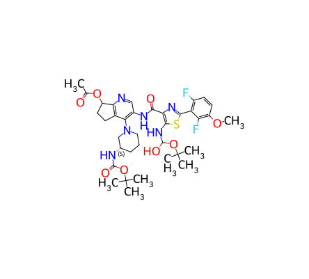 COc1ccc(F)c(-c2nc(C(=O)Nc3cnc4c(c3N3CCC[C@H](NC(=O)OC(C)(C)C)C3)CCC4OC(C)=O)c(NC(O)OC(C)(C)C)s2)c1F